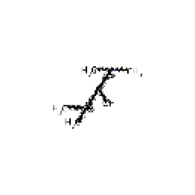 CCCCCC/C=C/C(CCCCCC)C(=O)OCCCCCCN(CCCCCO)CCCCCCOC(=O)C(CCCCCC)CCCCCCCC